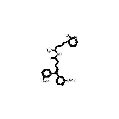 CCc1ncccc1CCCC(C)NC(=O)CCC=C(c1cccc(OC)c1)c1cccc(OC)c1